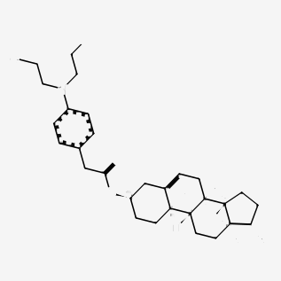 CC(=O)[C@H]1CC[C@H]2[C@@H]3CC=C4C[C@H](OC(=O)Cc5ccc(N(CCCl)CCCl)cc5)CC[C@]4(C)[C@H]3CC[C@]12C